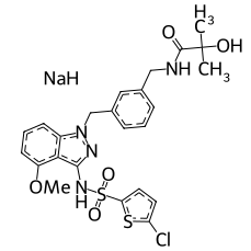 COc1cccc2c1c(NS(=O)(=O)c1ccc(Cl)s1)nn2Cc1cccc(CNC(=O)C(C)(C)O)c1.[NaH]